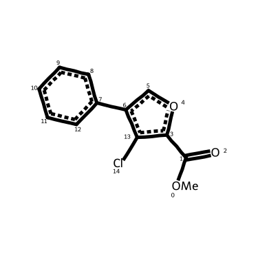 COC(=O)c1occ(-c2ccccc2)c1Cl